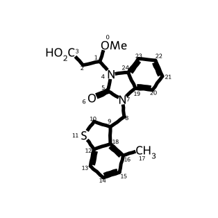 COC(CC(=O)O)n1c(=O)n(CC2CSc3cccc(C)c32)c2ccccc21